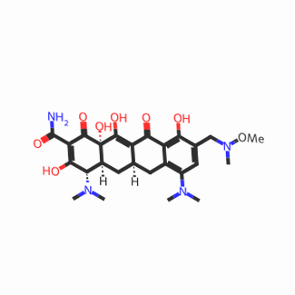 CON(C)Cc1cc(N(C)C)c2c(c1O)C(=O)C1=C(O)[C@]3(O)C(=O)C(C(N)=O)=C(O)[C@@H](N(C)C)[C@@H]3C[C@@H]1C2